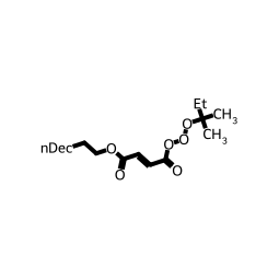 CCCCCCCCCCCCOC(=O)C=CC(=O)OOOC(C)(C)CC